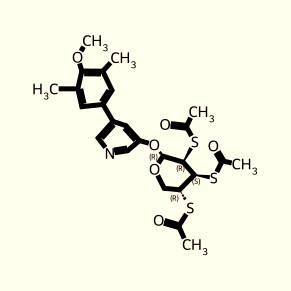 COc1c(C)cc(-c2cncc(O[C@H]3OC[C@@H](SC(C)=O)[C@H](SC(C)=O)[C@@H]3SC(C)=O)c2)cc1C